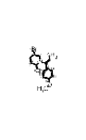 C=C1C=CC(Br)=CN1/C(=C\C)c1ccc(OC)cc1